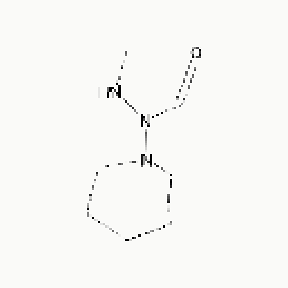 CNN(C=O)N1CCCCC1